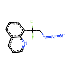 [N-]=[N+]=NCC(F)(F)c1cccc2cccnc12